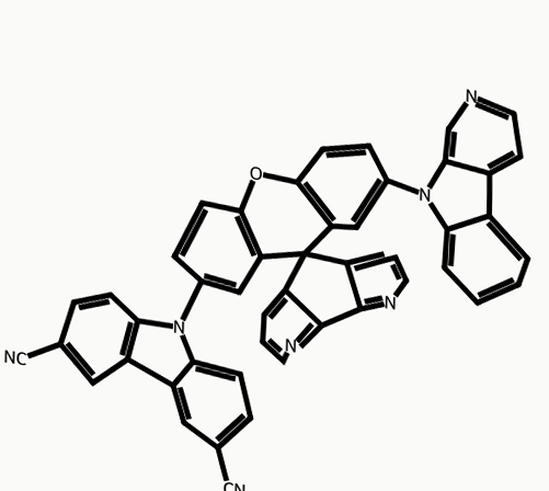 N#Cc1ccc2c(c1)c1cc(C#N)ccc1n2-c1ccc2c(c1)C1(c3cc(-n4c5ccccc5c5ccncc54)ccc3O2)c2cccnc2-c2ncccc21